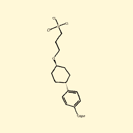 COc1ccc([C@H]2CC[C@H](OCCC[Si](Cl)(Cl)Cl)CC2)cc1